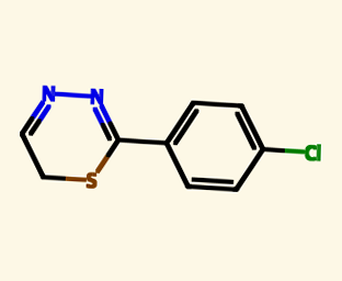 Clc1ccc(C2=NN=CCS2)cc1